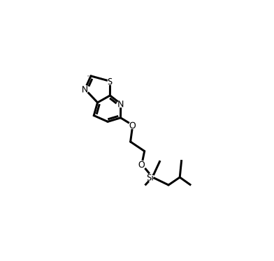 CC(C)C[Si](C)(C)OCCOc1ccc2n[c]sc2n1